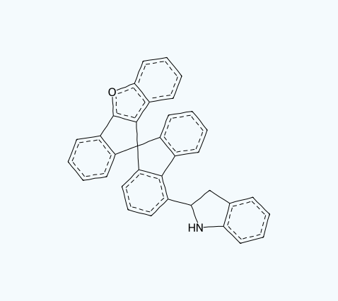 c1ccc2c(c1)CC(c1cccc3c1-c1ccccc1C31c3ccccc3-c3oc4ccccc4c31)N2